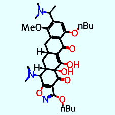 CCCCOc1cc([C@H](C)N(C)C)c(OC)c2c1C(=O)C1=C(O)[C@]3(O)C(=O)c4c(OCCCC)noc4[C@@H](N(C)C)[C@@H]3C[C@@H]1C2